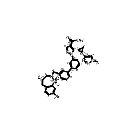 C[C@@H]1Cc2ccc(Br)cc2S(=O)(=O)N(Cc2cccc(-c3cccc(-n4ncc(C(=O)O)c4[C@@H]4C[C@H]4c4cn(C)nn4)c3)c2)C1